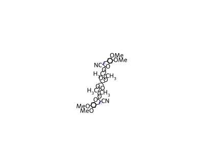 COc1ccc(/C=C(/C#N)C(=O)OCC(C)(C)C2OCC3(CO2)COC(C(C)(C)COC(=O)/C(C#N)=C\c2ccc(OC)c(OC)c2)OC3)cc1OC